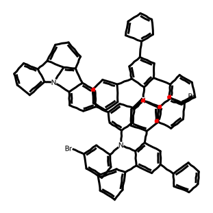 Brc1cccc(N(c2cc(-c3ccc4c(c3)c3cccc5c6ccccc6n4c53)cc(N(c3cccc(Br)c3)c3c(-c4ccccc4)cc(-c4ccccc4)cc3-c3ccccc3)c2)c2c(-c3ccccc3)cc(-c3ccccc3)cc2-c2ccccc2)c1